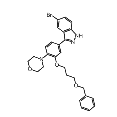 Brc1ccc2[nH]nc(-c3ccc(N4CCOCC4)c(OCCCOCc4ccccc4)c3)c2c1